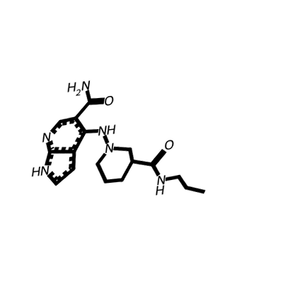 CCCNC(=O)C1CCCN(Nc2c(C(N)=O)cnc3[nH]ccc23)C1